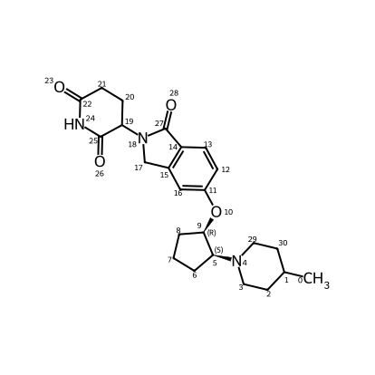 CC1CCN([C@H]2CCC[C@H]2Oc2ccc3c(c2)CN(C2CCC(=O)NC2=O)C3=O)CC1